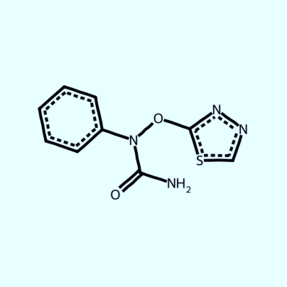 NC(=O)N(Oc1nncs1)c1ccccc1